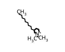 CCCCCCCCCCc1ccc[n+](C(C)C)c1